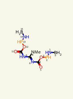 BNPOC(=O)/N=C(\NC)NC(=O)OPNB